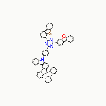 c1ccc2c(c1)-c1ccccc1C21c2ccccc2-c2c1ccc1c2c2ccccc2n1-c1ccc(-c2nc(-c3ccc4c(c3)oc3ccccc34)nc(-c3cccc4c3sc3ccccc34)n2)cc1